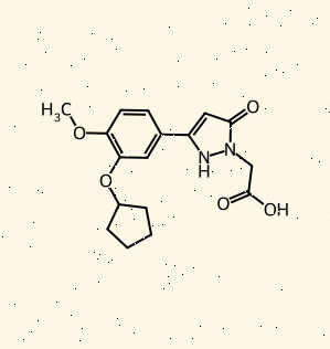 COc1ccc(-c2cc(=O)n(CC(=O)O)[nH]2)cc1OC1CCCC1